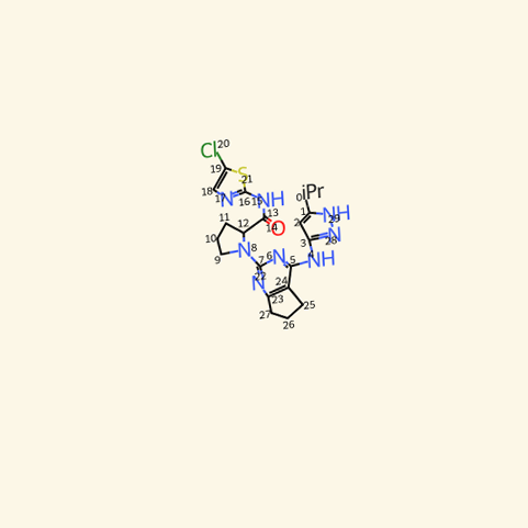 CC(C)c1cc(Nc2nc(N3CCCC3C(=O)Nc3ncc(Cl)s3)nc3c2CCC3)n[nH]1